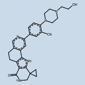 N#Cc1cc(-c2cc3c(cn2)CCc2c-3[nH]c3c2C(=O)NCC32CC2)ccc1N1CCN(CCO)CC1